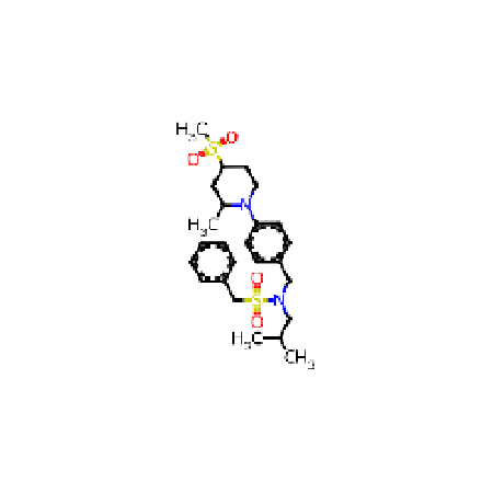 CC(C)CN(Cc1ccc(N2CCC(S(C)(=O)=O)CC2C)cc1)S(=O)(=O)Cc1ccccc1